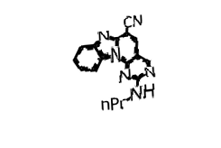 CCCNc1ncc2cc(C#N)c3nc4ccccc4n3c2n1